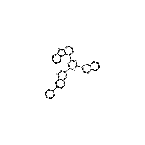 c1ccc(-c2ccc3cc(-c4nc(-c5ccc6ccccc6c5)nc(-c5cccc6sc7ccccc7c56)n4)cnc3c2)cc1